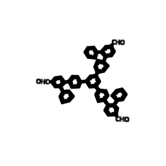 O=Cc1ccc(-c2ccc(-c3cc(-c4ccc(-c5ccc(C=O)cc5-c5ccccc5)cc4)cc(-c4ccc(-c5ccc(C=O)cc5-c5ccccc5)cc4)c3)cc2)c(-c2ccccc2)c1